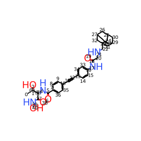 C[C@@H](O)[C@H](NC(=O)c1ccc(C#Cc2ccc(NC(=O)CNCC34CC5CC(CC(C5)C3)C4)cc2)cc1)C(=O)NO